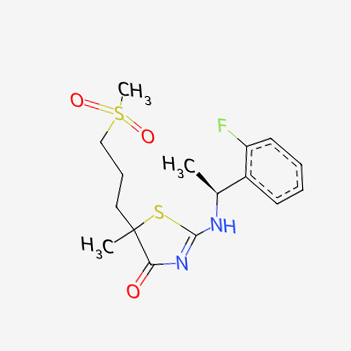 C[C@H](NC1=NC(=O)C(C)(CCCS(C)(=O)=O)S1)c1ccccc1F